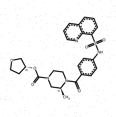 C[C@H]1CN(C(=O)O[C@@H]2CCOC2)CCN1C(=O)c1ccc(NS(=O)(=O)c2cccc3cccnc23)cc1